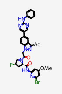 COc1cc(Br)nc(NC(=O)[C@@H]2C[C@@H](F)CN2C(=O)Cn2nc(C(C)=O)c3cc(-c4cnc(Nc5ccccc5)nc4)ccc32)c1